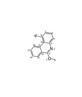 COc1nc2cccc(F)c2c2ccccc12